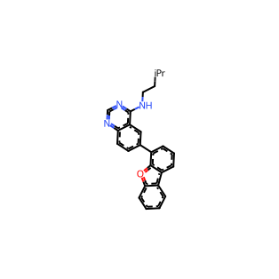 CC(C)CCNc1ncnc2ccc(-c3cccc4c3oc3ccccc34)cc12